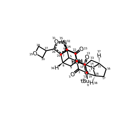 CC(C)(C)OC(=O)NC1[C@@H]2C[C@H]1CN(S(=O)(=O)N1[C@@H]3CC[C@H]1CC(NC(=O)c1cc(C4COC4)on1)C3)C2